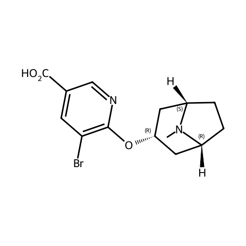 CN1[C@@H]2CC[C@H]1C[C@@H](Oc1ncc(C(=O)O)cc1Br)C2